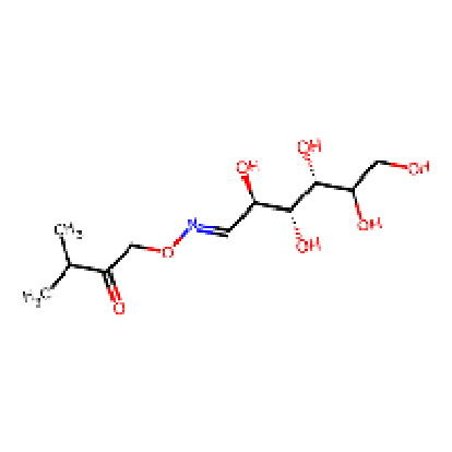 CC(C)C(=O)CO/N=C/[C@@H](O)[C@@H](O)[C@H](O)C(O)CO